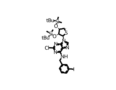 CC(C)(C)[Si](C)(C)O[C@H]1[C@H](n2cnc3c(NCc4cccc(I)c4)nc(Cl)nc32)S[CH][C@H]1O[Si](C)(C)C(C)(C)C